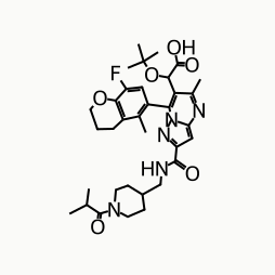 Cc1nc2cc(C(=O)NCC3CCN(C(=O)C(C)C)CC3)nn2c(-c2cc(F)c3c(c2C)CCCO3)c1C(OC(C)(C)C)C(=O)O